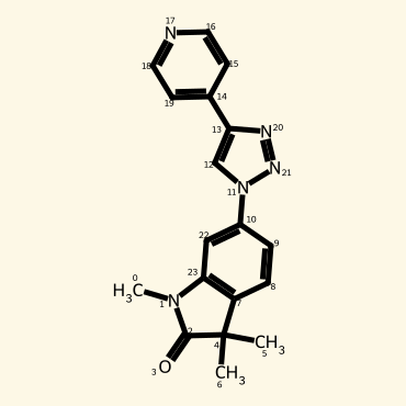 CN1C(=O)C(C)(C)c2ccc(-n3cc(-c4ccncc4)nn3)cc21